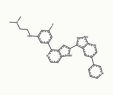 CN(C)CCNc1cc(F)cc(-c2nccc3[nH]c(-c4n[nH]c5ncc(-c6cccnc6)cc45)cc23)c1